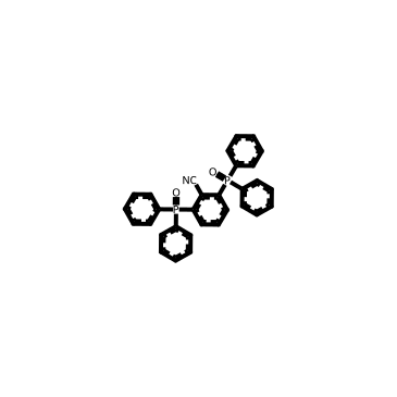 N#Cc1c(P(=O)(c2ccccc2)c2ccccc2)cccc1P(=O)(c1ccccc1)c1ccccc1